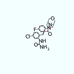 NC(=O)Nc1cc(Cl)ccc1C=CC(=O)N1CC2COCC(C1)N2Cc1ccc(F)cc1